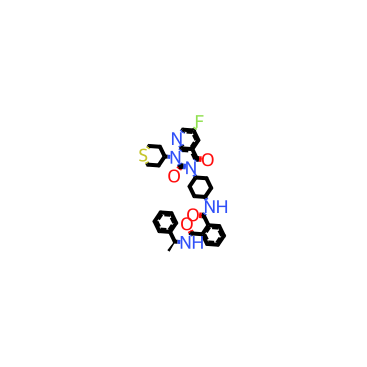 C[C@H](NC(=O)c1ccccc1C(=O)NC1CCC(n2c(=O)c3cc(F)cnc3n(C3CCSCC3)c2=O)CC1)c1ccccc1